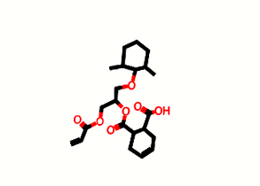 C=CC(=O)OCC(COC1C(C)CCCC1C)OC(=O)C1CC=CCC1C(=O)O